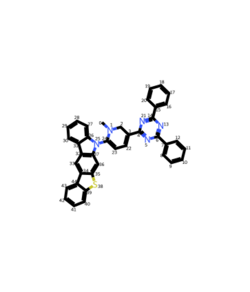 CN1CC(c2nc(-c3ccccc3)nc(-c3ccccc3)n2)=CC=C1n1c2ccccc2c2cc3c(cc21)sc1ccccc13